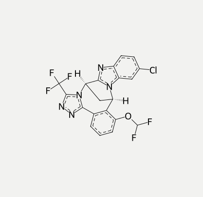 FC(F)Oc1cccc2c1[C@H]1C[C@H](c3nc4ccc(Cl)cc4n31)n1c-2nnc1C(F)(F)F